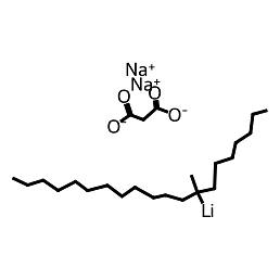 O=C([O-])CC(=O)[O-].[Li][C](C)(CCCCCCC)CCCCCCCCCCCC.[Na+].[Na+]